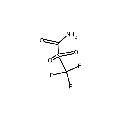 NC(=O)S(=O)(=O)C(F)(F)F